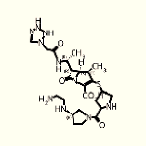 C[C@@H](NC(=O)CN1C=NNN1)[C@H]1C(=O)N2C(C(=O)O)=C(SC3CNC(C(=O)N4CC[C@@H](NCCN)C4)C3)[C@H](C)[C@H]12